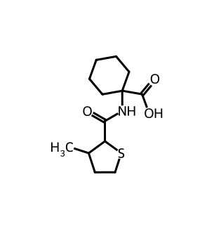 CC1CCSC1C(=O)NC1(C(=O)O)CCCCC1